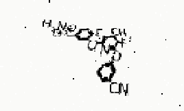 Cc1c(F)c(Oc2cccc(C#N)c2)nc(Oc2cccc(CS(N)(=O)=O)c2)c1F